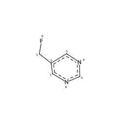 FCc1cncnc1